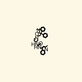 Cc1cc(NC(=O)N[C@@H]2CCN(CCC(C(=O)N(C)C)(c3ccccc3)c3ccccc3)C2)c2ccccc2n1